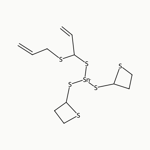 C=CCSC(C=C)[S][Sn]([S]C1CCS1)[S]C1CCS1